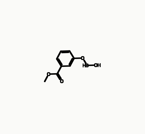 COC(=O)c1cccc(OBO)c1